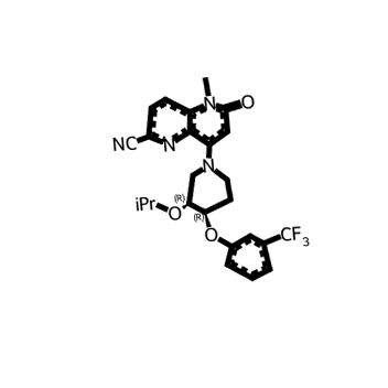 CC(C)O[C@@H]1CN(c2cc(=O)n(C)c3ccc(C#N)nc23)CC[C@H]1Oc1cccc(C(F)(F)F)c1